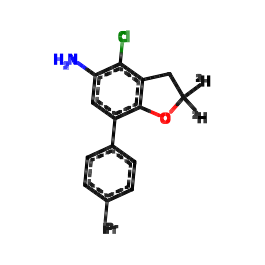 [2H]C1([2H])Cc2c(Cl)c(N)cc(-c3ccc(C(C)C)cc3)c2O1